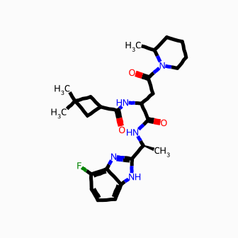 CC1CCCCN1C(=O)CC(NC(=O)C1CC(C)(C)C1)C(=O)N[C@@H](C)c1nc2c(F)cccc2[nH]1